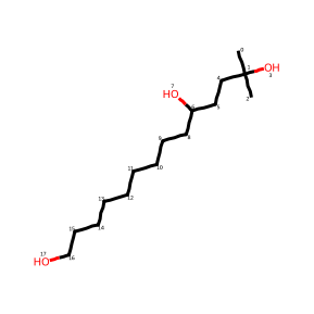 CC(C)(O)CCC(O)CCCCCCCCCO